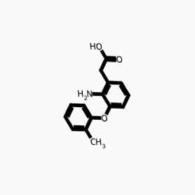 Cc1ccccc1Oc1cccc(CC(=O)O)c1N